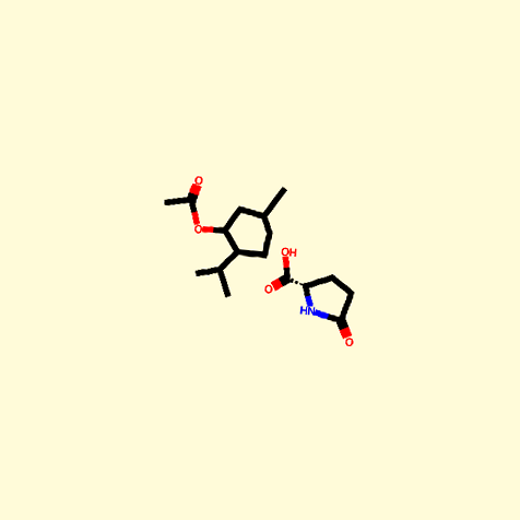 CC(=O)OC1CC(C)CCC1C(C)C.O=C1CC[C@@H](C(=O)O)N1